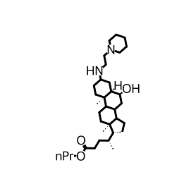 CCCOC(=O)CC[C@@H](C)[C@H]1CCC2C3C[C@H](O)[C@@H]4CC(NCCN5CCCCC5)CC[C@]4(C)C3CC[C@@]21C